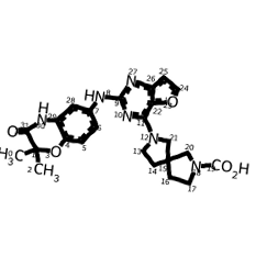 CC1(C)Oc2ccc(Nc3nc(N4CCC5(CCN(C(=O)O)C5)C4)c4occc4n3)cc2NC1=O